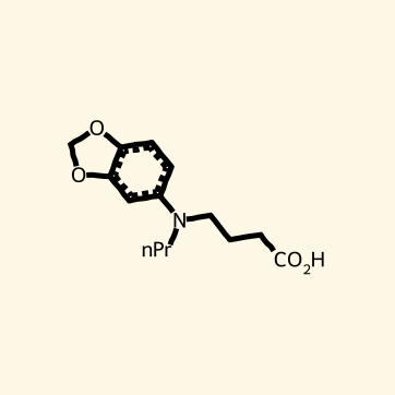 CCCN(CCCC(=O)O)c1ccc2c(c1)OCO2